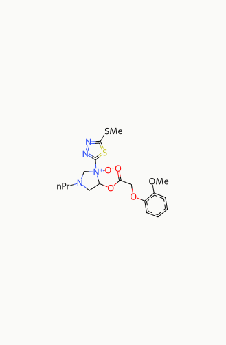 CCCN1CC(OC(=O)COc2ccccc2OC)[N+]([O-])(c2nnc(SC)s2)C1